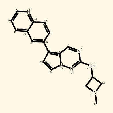 CN1CC(Nc2ncc3c(-c4ccc5ncccc5c4)ccn3n2)C1